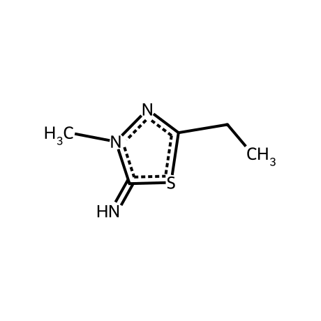 CCc1nn(C)c(=N)s1